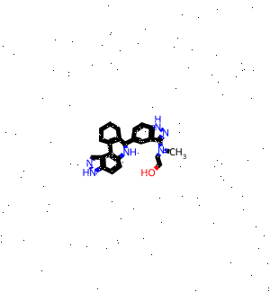 CN(CCO)c1n[nH]c2ccc(C3Nc4ccc5[nH]ncc5c4C4=C3CCCC4)cc12